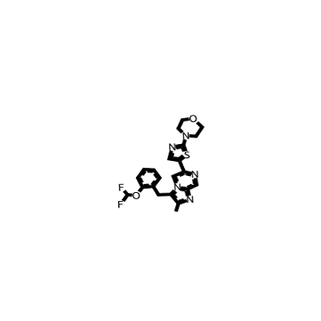 Cc1nc2cnc(-c3cnc(N4CCOCC4)s3)cn2c1Cc1ccccc1OC(F)F